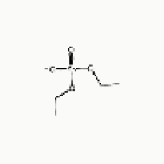 CCO[As](=O)(O)OCC